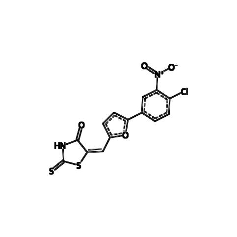 O=C1NC(=S)SC1=Cc1ccc(-c2ccc(Cl)c([N+](=O)[O-])c2)o1